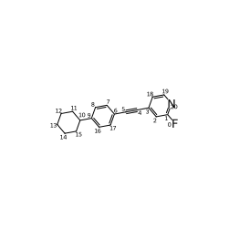 Fc1cc(C#Cc2ccc(C3CCCCC3)cc2)ccn1